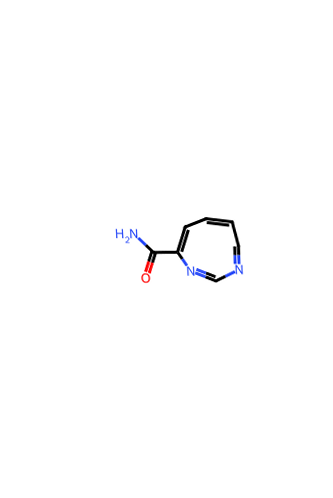 NC(=O)C1=CC=CC=NC=N1